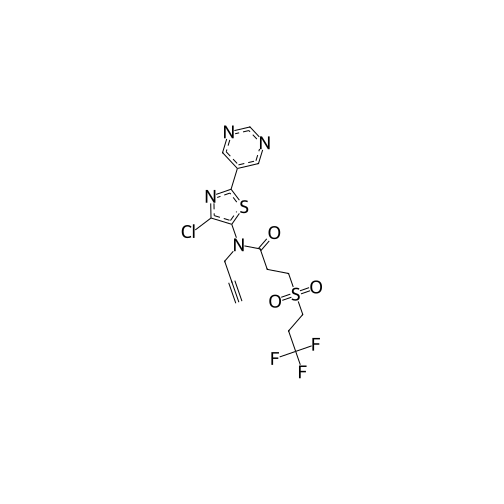 C#CCN(C(=O)CCS(=O)(=O)CCC(F)(F)F)c1sc(-c2cncnc2)nc1Cl